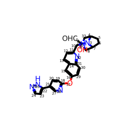 O=CC(O)N1C2CCC1CN(Cc1ccc3cc(Oc4ccc(-c5ccn[nH]5)cn4)ccc3n1)C2